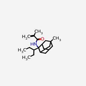 C=C(C)C(=O)NC1(C(CC)CC)C2CC3CC1CC(C)(C3)C2